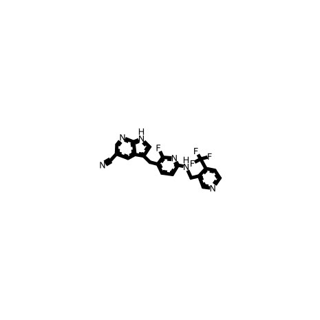 N#Cc1cnc2[nH]cc(Cc3ccc(NCc4cnccc4C(F)(F)F)nc3F)c2c1